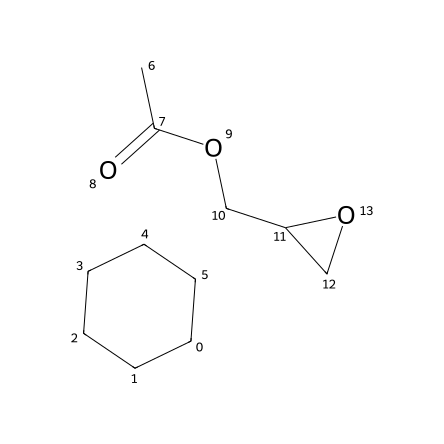 C1CCCCC1.CC(=O)OCC1CO1